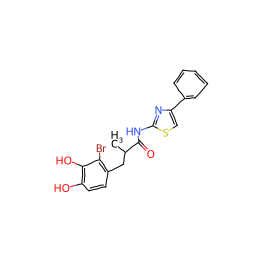 CC(Cc1ccc(O)c(O)c1Br)C(=O)Nc1nc(-c2ccccc2)cs1